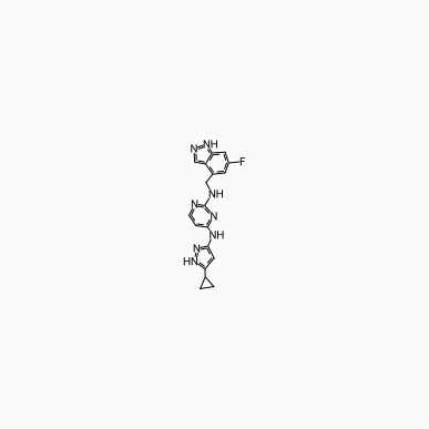 Fc1cc(CNc2nccc(Nc3cc(C4CC4)[nH]n3)n2)c2cn[nH]c2c1